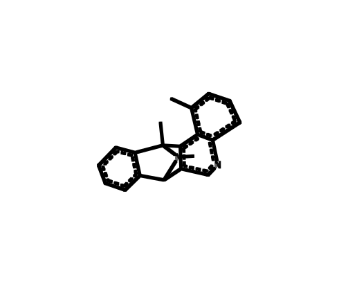 Cc1cccc2ncc3c(c12)C1(C)c2ccccc2C3N1C